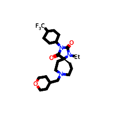 CCN1C(=O)N(C2CCC(C(F)(F)F)CC2)C(=O)[C@]12CCCN(CC1CCOCC1)CC2